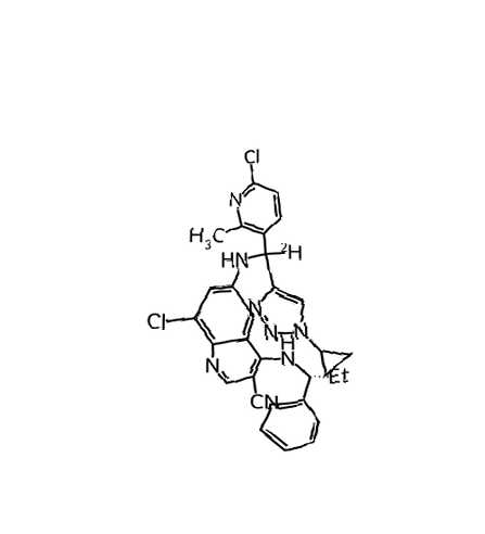 [2H]C(Nc1cc(Cl)c2ncc(C#N)c(N[C@H](CC)c3ccccc3)c2c1)(c1cn(C2CC2)nn1)c1ccc(Cl)nc1C